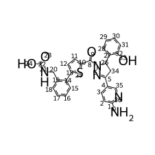 Nc1ccc(C2=NN(C(=O)c3ccc(-c4ccccc4CNC(=O)O)s3)C(c3ccccc3O)C2)cn1